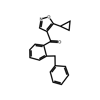 O=C(c1ccccc1Cc1ccccc1)c1cnoc1C1CC1